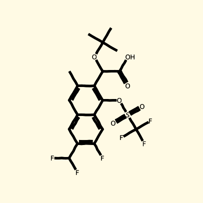 Cc1cc2cc(C(F)F)c(F)cc2c(OS(=O)(=O)C(F)(F)F)c1C(OC(C)(C)C)C(=O)O